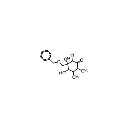 O=C1C(O)C(O)C(O)C(O)(COCc2ccccc2)C1Cl